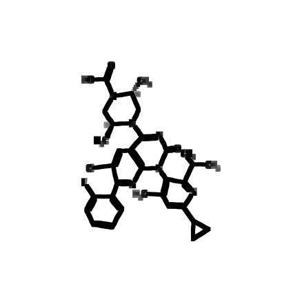 Cc1cc(C2CC2)nc(C(C)C)c1-n1c(=O)nc(N2C[C@@H](C)N(C(=O)O)C[C@@H]2C)c2cc(Cl)c(-c3ccccc3F)nc21